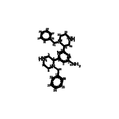 Nc1cc(C2CNCCN2Cc2ccccc2)nc(C2CNCCN2Cc2ccccc2)n1